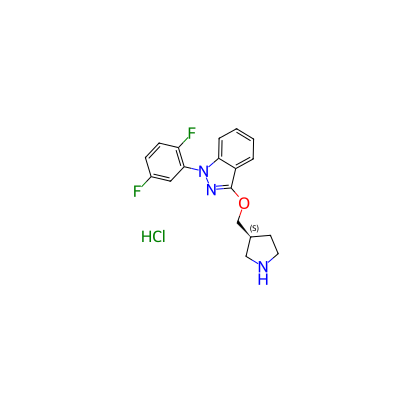 Cl.Fc1ccc(F)c(-n2nc(OC[C@H]3CCNC3)c3ccccc32)c1